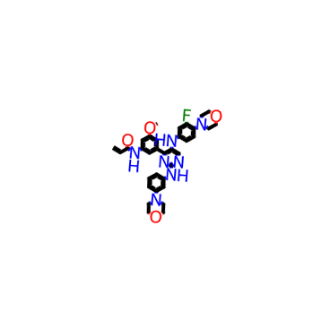 C=CC(=O)Nc1cc(OC)cc(-c2nc(Nc3cccc(N4CCOCC4)c3)ncc2Nc2ccc(N3CCOCC3)c(F)c2)c1